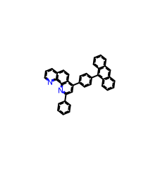 c1ccc(-c2cc(-c3ccc(-c4c5ccccc5cc5ccccc45)cc3)c3ccc4cccnc4c3n2)cc1